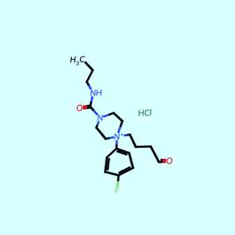 CCCNC(=O)N1CC[N+](CCCC=O)(c2ccc(F)cc2)CC1.Cl